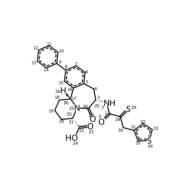 O=C(N[C@H]1Cc2ccc(-c3ccccc3)cc2[C@H]2CCC[C@@H](C(=O)O)N2C1=O)C(=S)Cc1ccsc1